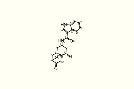 O=C(NC1CC2CC3C[C@H](C1)N2CC3=O)c1c[nH]c2ccccc12